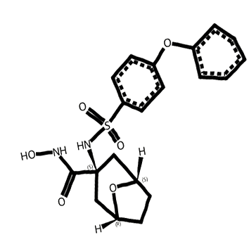 O=C(NO)[C@@]1(NS(=O)(=O)c2ccc(Oc3ccccc3)cc2)C[C@H]2CC[C@@H](C1)O2